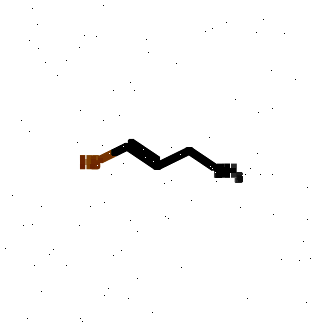 [SiH3]CC=CS